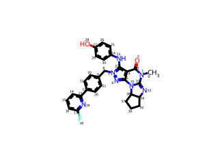 CN1C(=O)c2c(nn(Cc3ccc(-c4cccc(F)n4)cc3)c2Nc2ccc(O)cc2)N2C1=NC1CCCC12